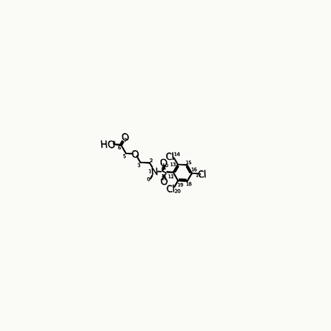 CN(CCOCC(=O)O)S(=O)(=O)c1c(Cl)cc(Cl)cc1Cl